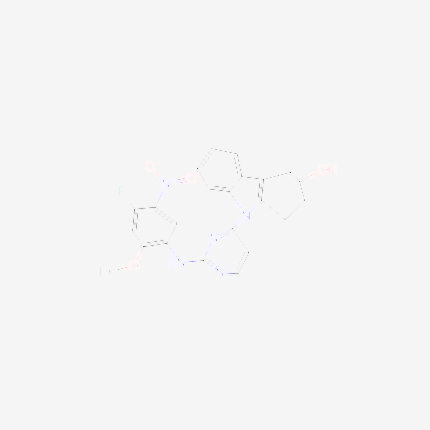 COc1cc(F)c([N+](=O)[O-])cc1Nc1nccc(-n2c3c(c4ccccc42)CC(O)CC3)n1